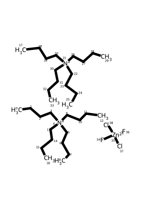 CCCC[N+](CCCC)(CCCC)CCCC.CCCC[N+](CCCC)(CCCC)CCCC.[F][Zn-2]([F])([Cl])[Cl]